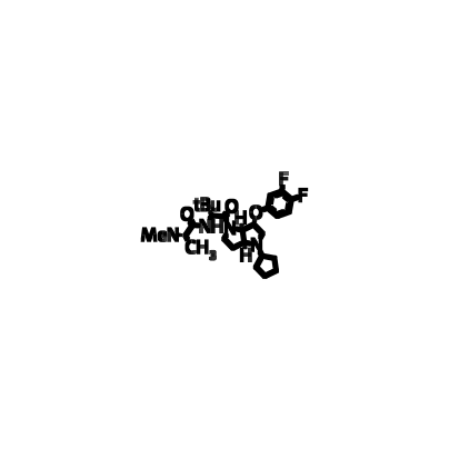 CN[C@@H](C)C(=O)N[C@H](C(=O)N1CC[C@@H]2[C@H]1[C@@H](Oc1ccc(F)c(F)c1)CN2C1CCCC1)C(C)(C)C